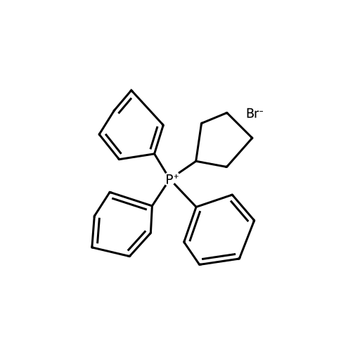 [Br-].c1ccc([P+](c2ccccc2)(c2ccccc2)C2CCCC2)cc1